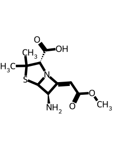 COC(=O)C=C1[C@@H](N)C2SC(C)(C)[C@H](C(=O)O)N12